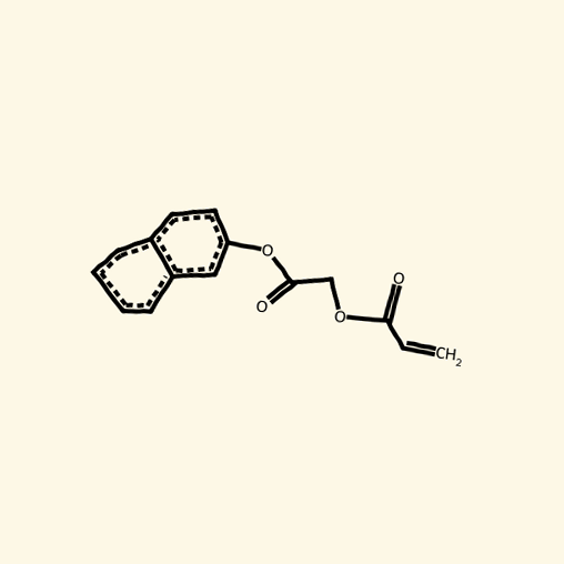 C=CC(=O)OCC(=O)Oc1ccc2ccccc2c1